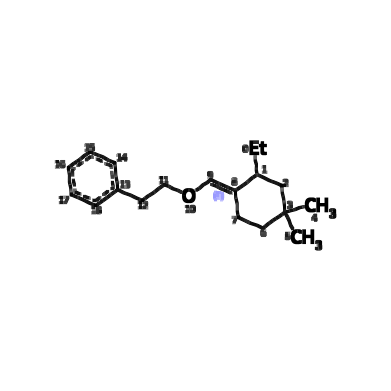 CCC1CC(C)(C)CC/C1=C\OCCc1ccccc1